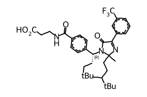 CC(CCC1(C)N=C(c2cccc(C(F)(F)F)c2)C(=O)N1[C@H](CCC(C)(C)C)c1ccc(C(=O)NCCC(=O)O)cc1)C(C)(C)C